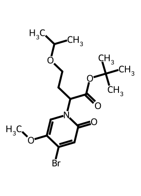 COc1cn(C(CCOC(C)C)C(=O)OC(C)(C)C)c(=O)cc1Br